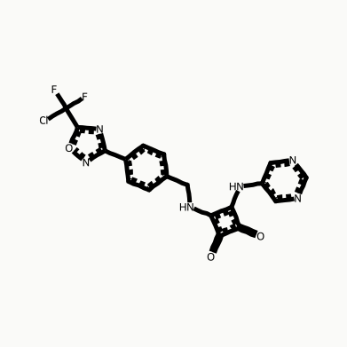 O=c1c(NCc2ccc(-c3noc(C(F)(F)Cl)n3)cc2)c(Nc2cncnc2)c1=O